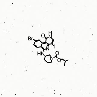 CC(C)COC(=O)N1CCC[C@H](Nc2nc3c(I)c[nH]c(=O)c3c3cc(Br)ccc23)C1